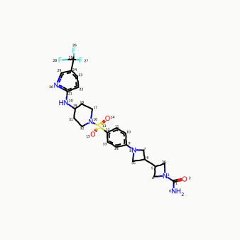 NC(=O)N1CC(C2CN(c3ccc(S(=O)(=O)N4CCC(Nc5ccc(C(F)(F)F)cn5)CC4)cc3)C2)C1